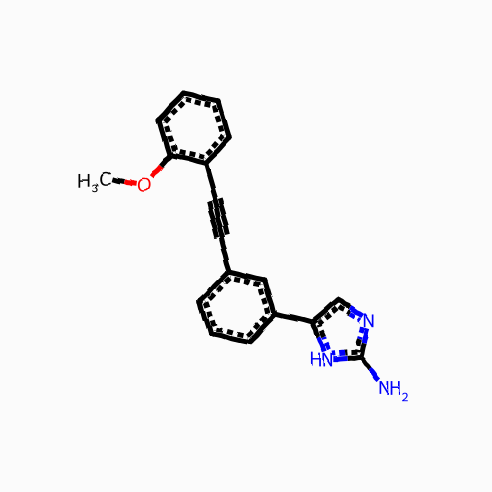 COc1ccccc1C#Cc1cccc(-c2cnc(N)[nH]2)c1